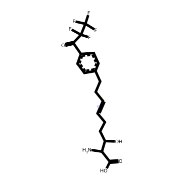 NC(C(=O)O)C(O)CC/C=C/CCc1ccc(C(=O)C(F)(F)C(F)(F)F)cc1